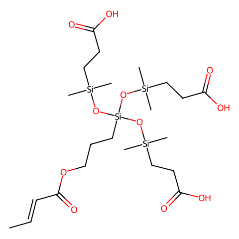 CC=CC(=O)OCCC[Si](O[Si](C)(C)CCC(=O)O)(O[Si](C)(C)CCC(=O)O)O[Si](C)(C)CCC(=O)O